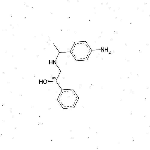 CC(NC[C@H](O)c1ccccc1)c1ccc(N)cc1